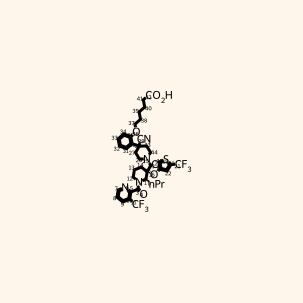 CCC[C@H]1N(C(=O)c2ncccc2C(F)(F)F)CCC[C@@]1(Oc1csc(C(F)(F)F)c1)C(=O)N1CCC(C#N)(c2ccccc2OCCCCCC(=O)O)CC1